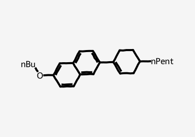 CCCCCC1CC=C(c2ccc3cc(OCCCC)ccc3c2)CC1